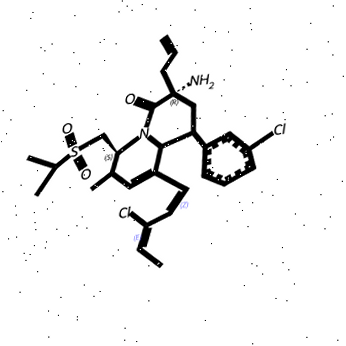 C=CC[C@@]1(N)CC(c2cccc(Cl)c2)C2C(/C=C\C(Cl)=C/C)=CC(C)[C@@H](CS(=O)(=O)C(C)C)N2C1=O